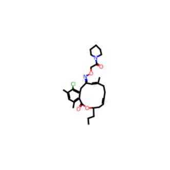 CCCC1C/C=C/CC/C(C)=C/C(=N\OCC(=O)N2CCCCC2)Cc2c(Cl)c(C)cc(C)c2C(=O)O1